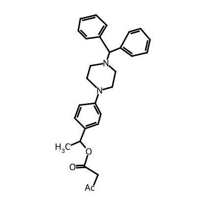 CC(=O)CC(=O)OC(C)c1ccc(N2CCN(C(c3ccccc3)c3ccccc3)CC2)cc1